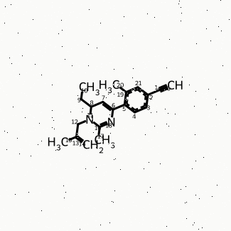 C#Cc1ccc(C2=CC(CC)N(CC(=C)C)C(C)=N2)c(C)c1